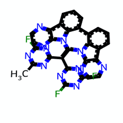 Cc1nc(F)nc(C(c2nc(F)nc(F)n2)=c2n3c4nccnc4c4cccc(c5cccc6c7nccnc7n2c56)c43)n1